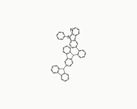 c1ccc(-n2c3ccc(-c4ccccc4C4c5ccccc5-c5cc(C6c7ccccc7-c7ccccc76)ccc54)cc3c3cccnc32)cc1